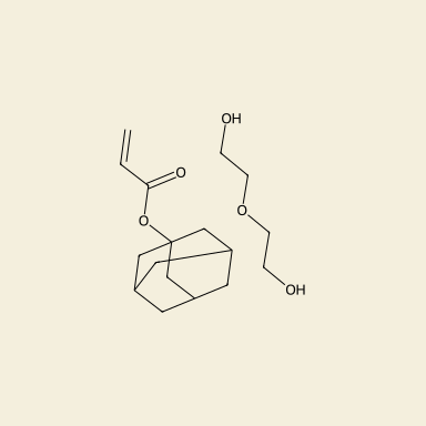 C=CC(=O)OC12CC3CC(CC(C3)C1)C2.OCCOCCO